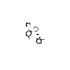 Cc1c[c]c(-n2cccn2)c(N2CC[C@H](C)[C@H]2c2nc3c(C)c(Cl)ccc3[nH]2)c1